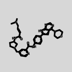 CN(C)C/C=C/C(=O)NC1CCN(Cc2ccnc(C(=O)Nc3ccc(-c4cc5c(N6CCOCC6)ncnc5[nH]4)cc3)c2)C1